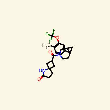 Cc1ccc(C23CCN(C(=O)C4CC5(CCC(=O)N5)C4)CC2C3)cc1OC(F)(F)F